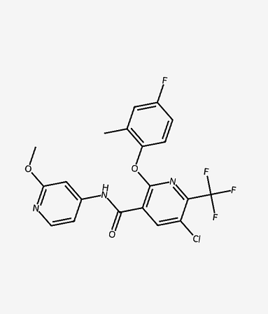 COc1cc(NC(=O)c2cc(Cl)c(C(F)(F)F)nc2Oc2ccc(F)cc2C)ccn1